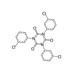 O=c1n(-c2cccc(Cl)c2)c(=O)n(-c2cccc(Cl)c2)c(=O)n1-c1cccc(Cl)c1